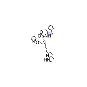 Cc1ccccc1/N=C\C1=C\CCOC(=O)[C@H](CCN(CCCCc2ccc3c(n2)NCCC3)CCOc2ccccn2)N1